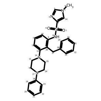 Cn1cnc(S(=O)(=O)Nc2cccc(N3CCN(c4ccccc4)CC3)c2Cc2ccccc2)c1